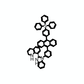 C1=Cc2cccc([C@@H]3Nc4ccccc4N3c3cccc(-c4c5ccccc5c(-c5ccc(S(c6ccccc6)(c6ccccc6)c6ccccc6)cc5)c5ccccc45)c3)c2NC1